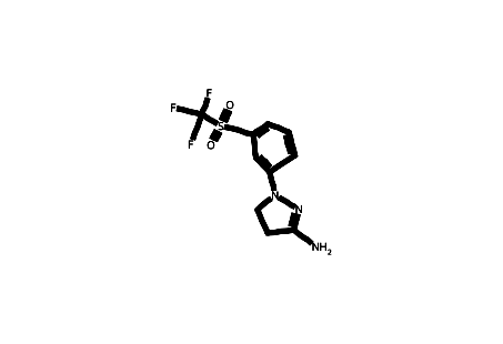 NC1=NN(c2cccc(S(=O)(=O)C(F)(F)F)c2)CC1